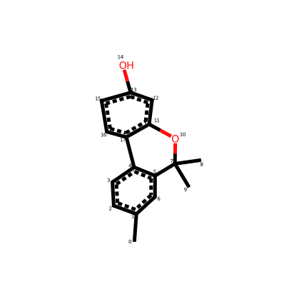 Cc1ccc2c(c1)C(C)(C)Oc1cc(O)ccc1-2